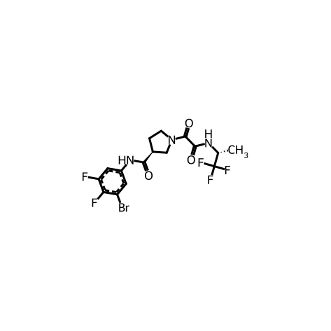 C[C@@H](NC(=O)C(=O)N1CC[C@H](C(=O)Nc2cc(F)c(F)c(Br)c2)C1)C(F)(F)F